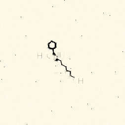 CCCCC(O)CCCC(=O)NC(C)c1ccccc1